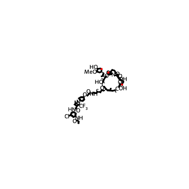 C=CC(=O)Nc1cc(Cl)cc(NC(=O)c2cnn(-c3ccc(OCC(=O)NCCSCCC[C@@H]4/C=C(\C)C[C@H](C)C[C@H](O)[C@H]5OC(O)(C(=O)C(=O)N6CCCC[C@H]6C(=O)O[C@H](/C(C)=C/[C@@H]6CC[C@@H](O)[C@H](OC)C6)[C@H](C)[C@@H](O)CC4=O)[C@H](C)C[C@@H]5C)cc3)c2C(F)(F)F)c1